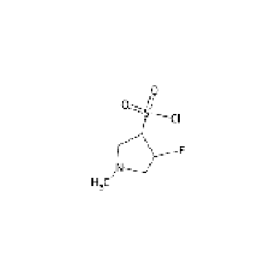 CN1CC(F)C(S(=O)(=O)Cl)C1